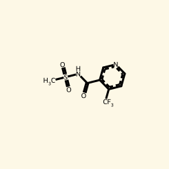 CS(=O)(=O)NC(=O)c1cnccc1C(F)(F)F